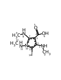 CNc1c(C(=O)O)c(NC)n(NC)c1I